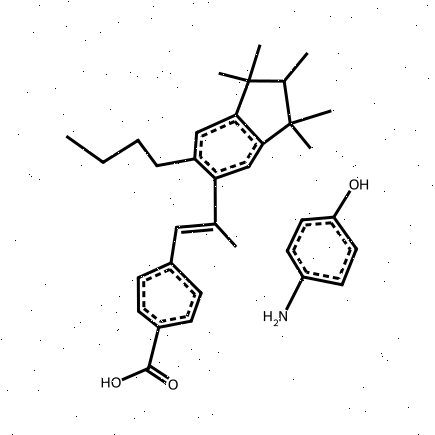 CCCCc1cc2c(cc1C(C)=Cc1ccc(C(=O)O)cc1)C(C)(C)C(C)C2(C)C.Nc1ccc(O)cc1